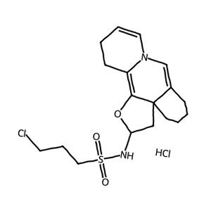 Cl.O=S(=O)(CCCCl)NC1CC23CCCCC2=CN2C=CCCC2=C3O1